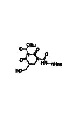 CCCCCCNC(=O)n1cc(CO)c(=O)n(C(=O)OCC(C)C)c1=O